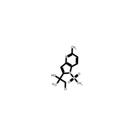 Cc1ccc2c(cc(C(C)(O)CCl)n2S(C)(=O)=O)n1